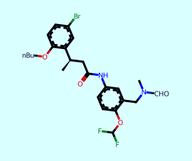 CCCCOc1ccc(Br)cc1[C@H](C)CC(=O)Nc1ccc(OC(F)F)c(CN(C)C=O)c1